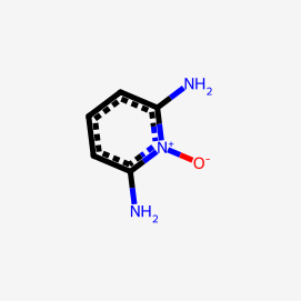 Nc1cccc(N)[n+]1[O-]